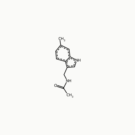 CC(=O)NCc1c[nH]c2cc(C)ccc12